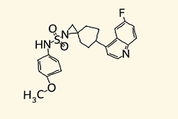 COc1ccc(NS(=O)(=O)N2CC23CCC(c2ccnc4ccc(F)cc24)CC3)cc1